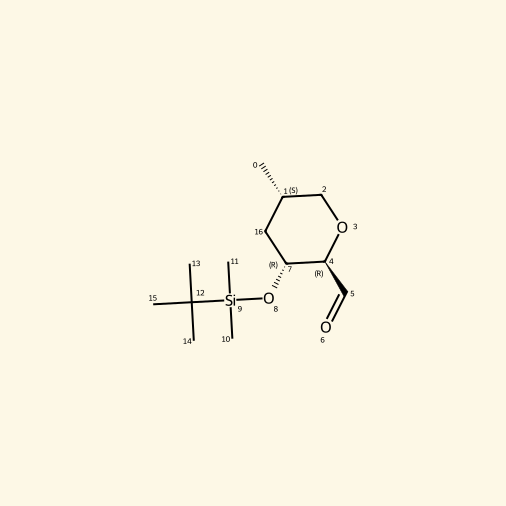 C[C@@H]1CO[C@@H](C=O)[C@H](O[Si](C)(C)C(C)(C)C)C1